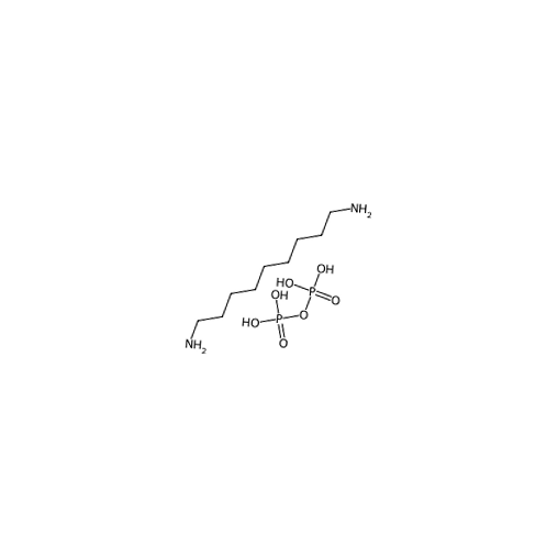 NCCCCCCCCCN.O=P(O)(O)OP(=O)(O)O